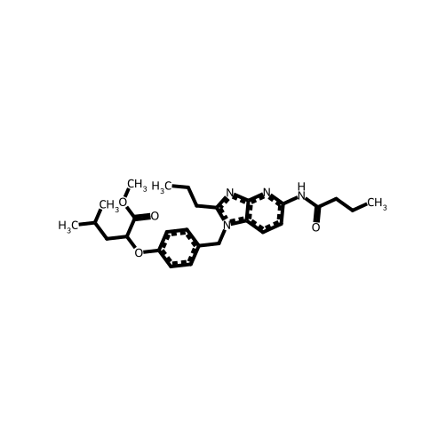 CCCC(=O)Nc1ccc2c(n1)nc(CCC)n2Cc1ccc(OC(CC(C)C)C(=O)OC)cc1